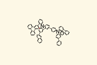 c1ccc(-c2ccc(N(c3ccc(-c4ccc5c(c4)c4cc(-c6ccc7ccccc7c6)ccc4n5-c4ccccc4-c4ccc5c6ccccc6c6ccccc6c5c4)cc3)c3cccc4c3oc3ccccc34)cc2)cc1